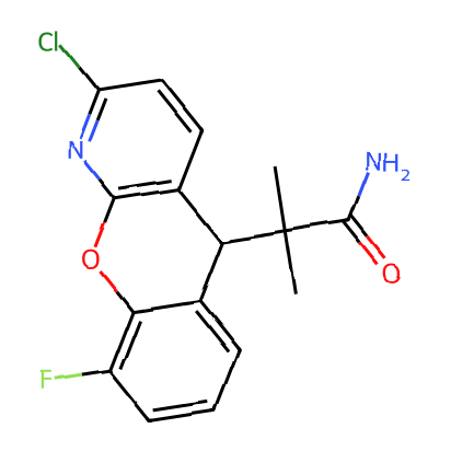 CC(C)(C(N)=O)C1c2ccc(Cl)nc2Oc2c(F)cccc21